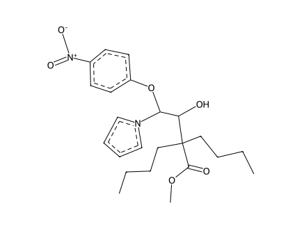 CCCCC(CCCC)(C(=O)OC)C(O)C(Oc1ccc([N+](=O)[O-])cc1)n1cccc1